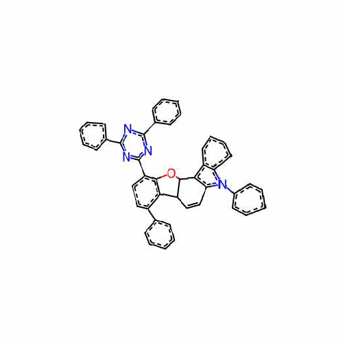 C1=CC2c3c(-c4ccccc4)ccc(-c4nc(-c5ccccc5)nc(-c5ccccc5)n4)c3OC2c2c1n(-c1ccccc1)c1ccccc21